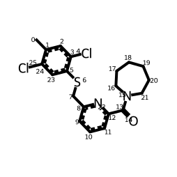 Cc1cc(Cl)c(SCc2cccc(C(=O)N3CCCCCC3)n2)cc1Cl